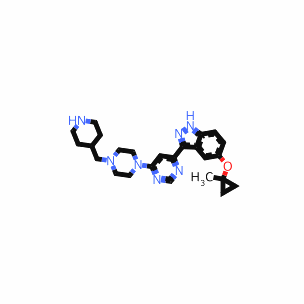 CC1(Oc2ccc3[nH]nc(-c4cc(N5CCN(CC6CCNCC6)CC5)ncn4)c3c2)CC1